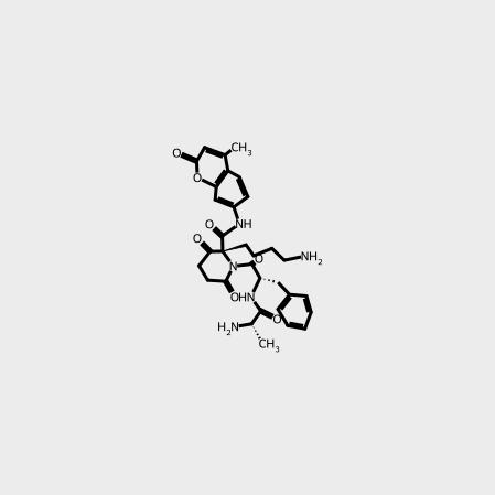 Cc1cc(=O)oc2cc(NC(=O)[C@@]3(CCCCN)C(=O)CCC(=O)N3C(=O)[C@H](Cc3ccccc3)NC(=O)[C@H](C)N)ccc12